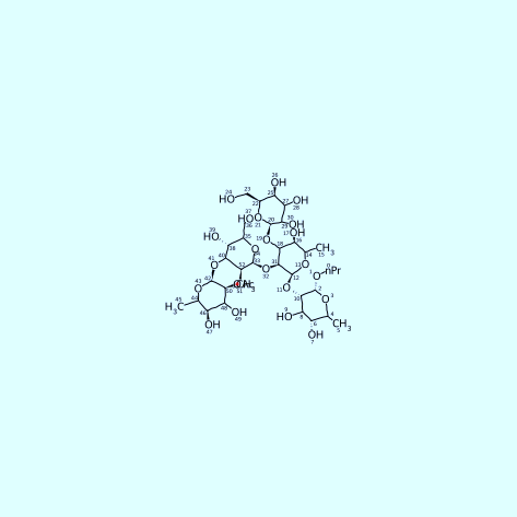 CCCO[C@@H]1OC(C)[C@H](O)C(O)[C@@H]1O[C@@H]1OC(C)[C@H](O)C(O[C@H]2O[C@@H](CO)[C@@H](O)C(O)C2O)[C@@H]1O[C@@H]1OC(CO)[C@@H](O)C(O[C@@H]2OC(C)[C@H](O)C(O)[C@@H]2OC(C)=O)[C@@H]1C